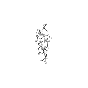 CN1C(=O)CC(F)[C@]2(C)[C@H]3CC[C@]4(C)[C@@H](OC5CC5)CC[C@H]4[C@@H]3CC[C@@H]12